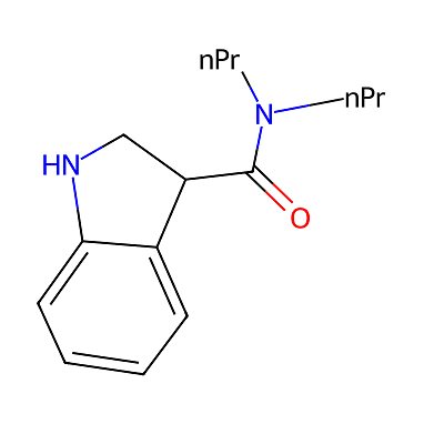 CCCN(CCC)C(=O)C1CNc2ccccc21